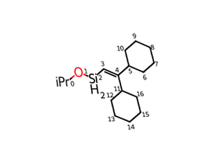 CC(C)O[SiH2]C=C(C1CCCCC1)C1CCCCC1